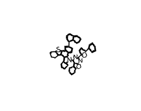 C1=Cc2sc3c4cc(-c5cccc6ccccc56)ccc4c4c(c5ccccc5n4-c4nc(-c5ccc(-c6ccccc6)o5)nc5oc6ccccc6c45)c3c2CC1